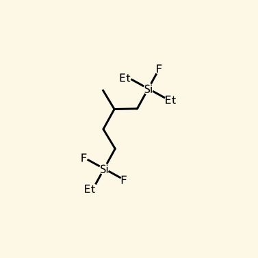 CC[Si](F)(F)CCC(C)C[Si](F)(CC)CC